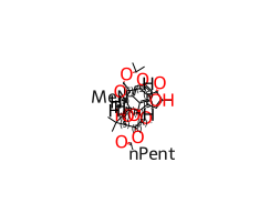 CCCCCC(=O)O[C@@H]1[C@@H](C)[C@@]2(O)[C@H]([C@@H]3C(C)(C)[C@]13OC(=O)c1ccccc1NC)[C@@H]1O[C@@]13COC(C)(C)O[C@H]3[C@]1(O)C(=O)C(C)=C[C@H]12